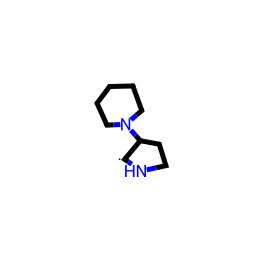 [CH]1NCCC1N1CCCCC1